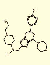 CCCN1CCC(N(C)Cc2cc3nc(-c4cnc(N)nc4)nc(N4CCOCC4)c3s2)CC1